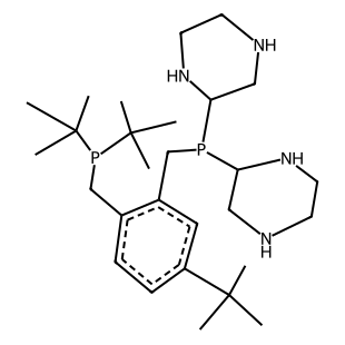 CC(C)(C)c1ccc(CP(C(C)(C)C)C(C)(C)C)c(CP(C2CNCCN2)C2CNCCN2)c1